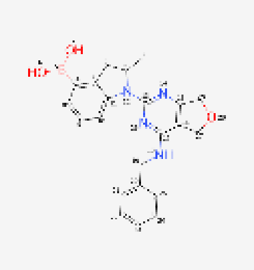 CC1Cc2c(B(O)O)cccc2N1c1nc2c(c(NCc3ccccc3)n1)COC2